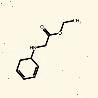 CCOC(=O)CNC1C=CC=CC1